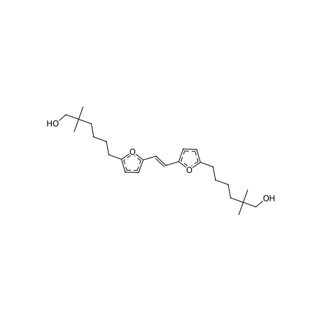 CC(C)(CO)CCCCc1ccc(C=Cc2ccc(CCCCC(C)(C)CO)o2)o1